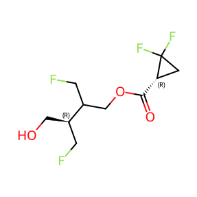 O=C(OCC(CF)[C@H](CO)CF)[C@H]1CC1(F)F